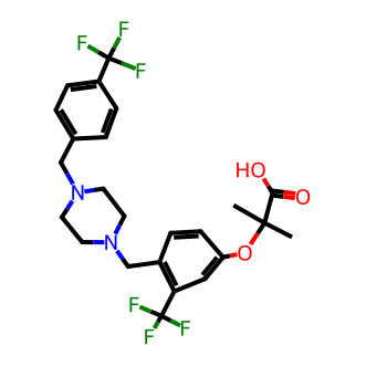 CC(C)(Oc1ccc(CN2CCN(Cc3ccc(C(F)(F)F)cc3)CC2)c(C(F)(F)F)c1)C(=O)O